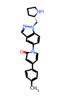 Cc1ccc(-c2ccn(-c3ccc4c(cnn4C[C@@H]4CCCN4)c3)c(=O)c2)cc1